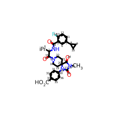 CC(C)C(NC(=O)c1cc(C2CC2)ccc1F)C(=O)N1CCC2(CC1)C(=O)N(C)C(=O)N2c1ccc(C(=O)O)cc1